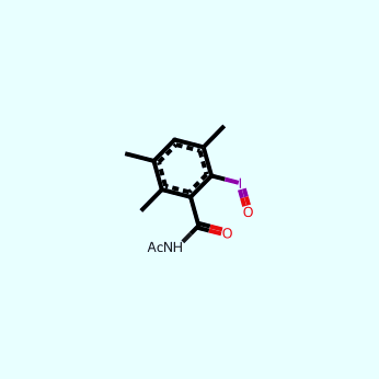 CC(=O)NC(=O)c1c(C)c(C)cc(C)c1I=O